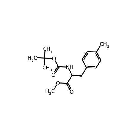 COC(=O)[C@H](Cc1ccc(C)cc1)NC(=O)OC(C)(C)C